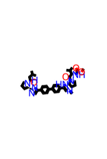 C=N/C=C(\NC1CCCN1C(=O)[C@@H](NC(=O)OC)C(C)C)c1ccc(-c2ccc(-c3cnc([C@@H]4CCCN4C(=O)CC(C)C)[nH]3)cc2)cc1